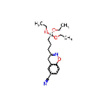 CCO[Si](CCCC1=NOc2ccc(C#N)cc2C1)(OCC)OCC